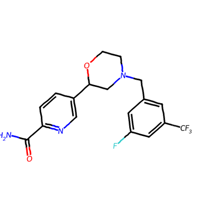 NC(=O)c1ccc(C2CN(Cc3cc(F)cc(C(F)(F)F)c3)CCO2)cn1